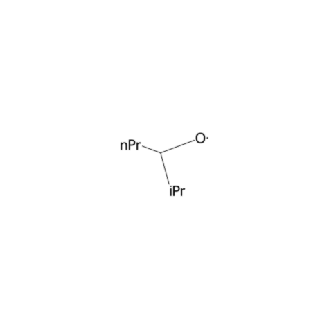 CCCC([O])C(C)C